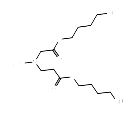 CN(CCC(=O)OCCCCO)CC(=O)OCCCCO